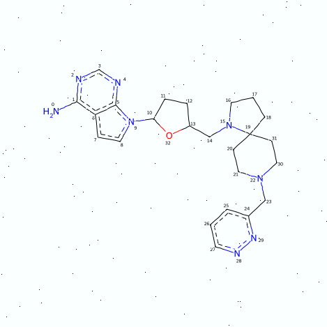 Nc1ncnc2c1ccn2C1CCC(CN2CCCC23CCN(Cc2cccnn2)CC3)O1